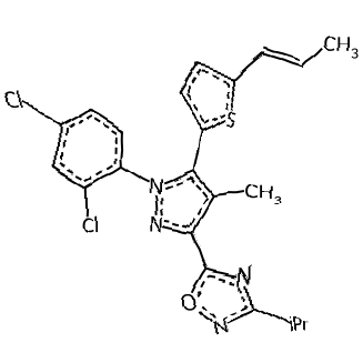 CC=Cc1ccc(-c2c(C)c(-c3nc(C(C)C)no3)nn2-c2ccc(Cl)cc2Cl)s1